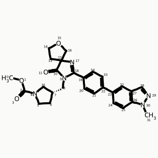 COC(=O)N1CC[C@@H](CN2C(=O)C3(CCOC3)N=C2c2ccc(-c3ccc4c(cnn4C)c3)cc2)C1